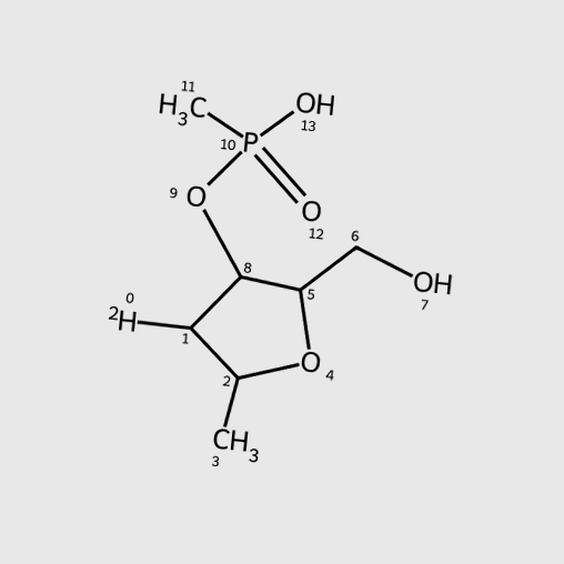 [2H]C1C(C)OC(CO)C1OP(C)(=O)O